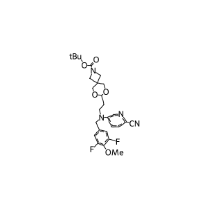 COc1c(F)cc(CN(CCC2OCC3(CO2)CN(C(=O)OC(C)(C)C)C3)c2ccc(C#N)nc2)cc1F